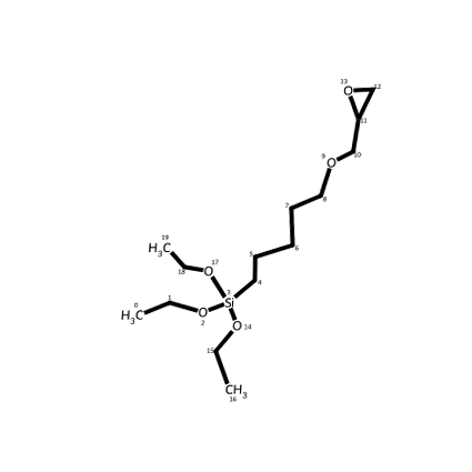 CCO[Si](CCCCCOCC1CO1)(OCC)OCC